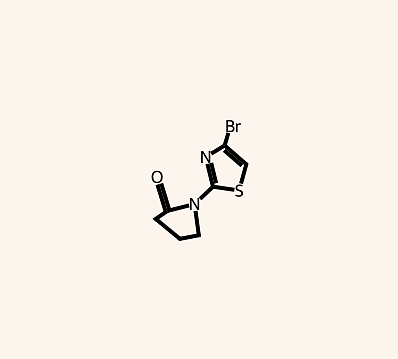 O=C1CCCN1c1nc(Br)cs1